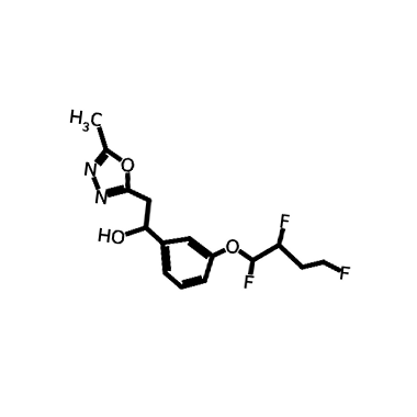 Cc1nnc(CC(O)c2cccc(OC(F)C(F)CCF)c2)o1